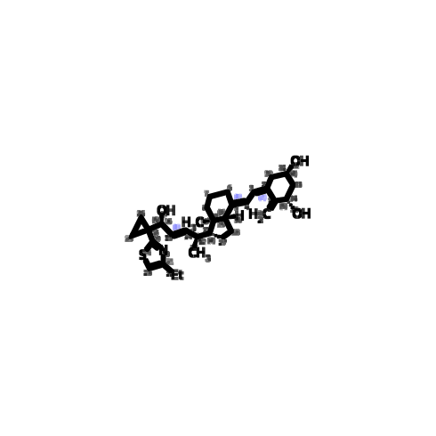 C=C1/C(=C\C=C2/CCC[C@]3(C)[C@@H]([C@@H](C)/C=C/[C@H](O)C4(c5nc(CC)cs5)CC4)CC[C@@H]23)C[C@@H](O)C[C@@H]1O